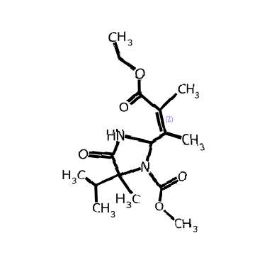 CCOC(=O)/C(C)=C(/C)C1NC(=O)C(C)(C(C)C)N1C(=O)OC